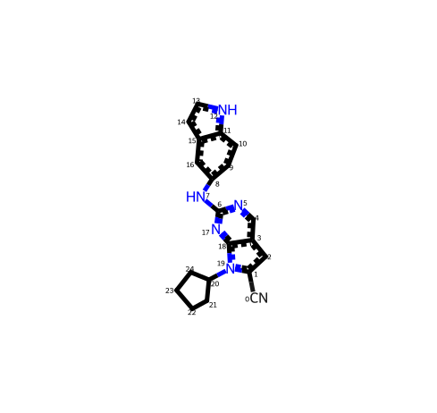 N#Cc1cc2cnc(Nc3ccc4[nH]ccc4c3)nc2n1C1CCCC1